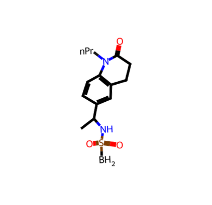 BS(=O)(=O)NC(C)c1ccc2c(c1)CCC(=O)N2CCC